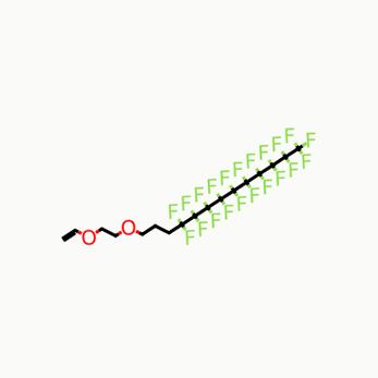 C=COCCOCCCC(F)(F)C(F)(F)C(F)(F)C(F)(F)C(F)(F)C(F)(F)C(F)(F)C(F)(F)C(F)(F)C(F)(F)F